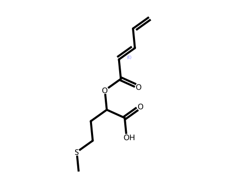 C=C/C=C/C(=O)OC(CCSC)C(=O)O